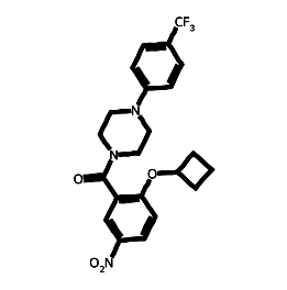 O=C(c1cc([N+](=O)[O-])ccc1OC1CCC1)N1CCN(c2ccc(C(F)(F)F)cc2)CC1